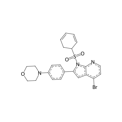 O=S(=O)(C1C=CC=CC1)n1c(-c2ccc(N3CCOCC3)cc2)cc2c(Br)ccnc21